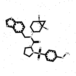 COc1ccc(S(=O)(=O)N2CCC[C@H]2C(=O)N(Cc2ccc3scnc3c2)[C@@H]2CC[C@@H]3C[C@@H]3C2)cc1